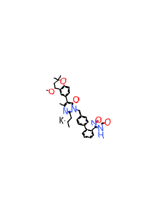 CCCc1nc(C)c(-c2ccc3c(c2)C(OC)CC(C)(C)O3)c(=O)n1Cc1ccc(-c2ccccc2-c2noc(=O)[nH]2)cc1.[K]